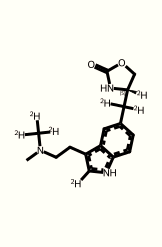 [2H]c1[nH]c2ccc(C([2H])([2H])[C@@]3([2H])COC(=O)N3)cc2c1CCN(C)C([2H])([2H])[2H]